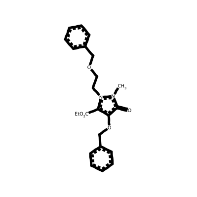 CCOC(=O)c1c(OCc2ccccc2)c(=O)n(C)n1CCOCc1ccccc1